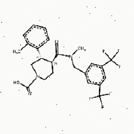 Cc1ccccc1[C@H]1CN(C(=O)O)CC[C@@H]1C(=O)N(C)Cc1cc(C(F)(F)F)cc(C(F)(F)F)c1